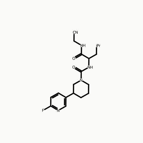 CC(C)CC(NC(=O)N1CCCC(c2ccc(F)nc2)C1)C(=O)NCC#N